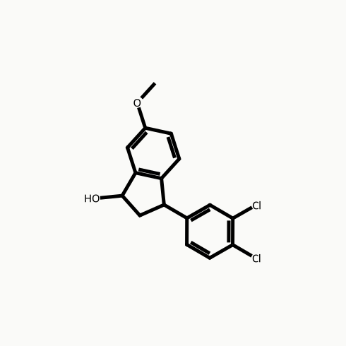 COc1ccc2c(c1)C(O)CC2c1ccc(Cl)c(Cl)c1